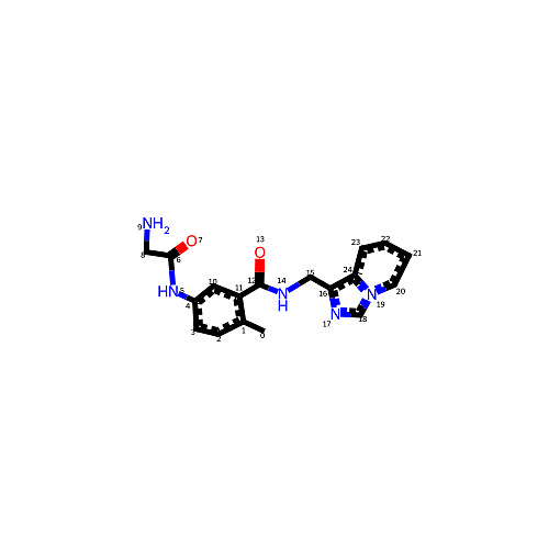 Cc1ccc(NC(=O)CN)cc1C(=O)NCc1ncn2ccccc12